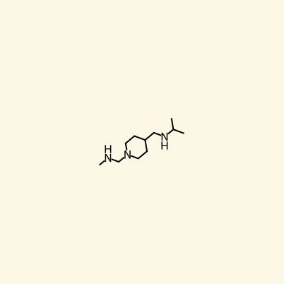 CNCN1CCC(CNC(C)C)CC1